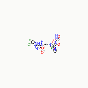 O=C(/C=C/CN1CCC(CN2CC3CCC(C2)N3c2cc3c(cc2F)C(=O)N(C2CCC(=O)NC2=O)C3=O)CC1)Nc1cc2c(Nc3ccc(F)c(Cl)c3)ncnc2cc1OC1CCOC1